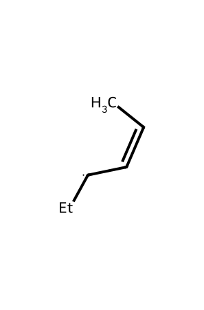 C/C=C\[CH]CC